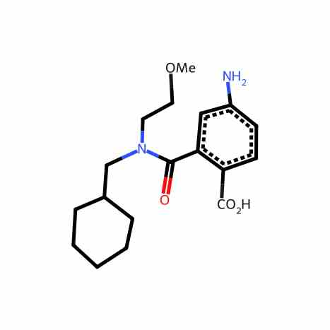 COCCN(CC1CCCCC1)C(=O)c1cc(N)ccc1C(=O)O